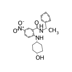 C[C@H](NC(=O)c1cc([N+](=O)[O-])ccc1N[C@H]1CC[C@@H](O)CC1)c1ccccc1